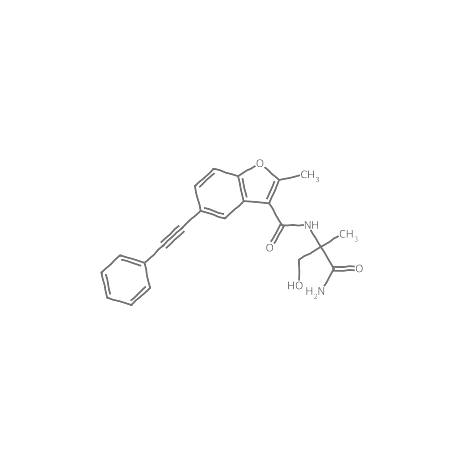 Cc1oc2ccc(C#Cc3ccccc3)cc2c1C(=O)NC(C)(CO)C(N)=O